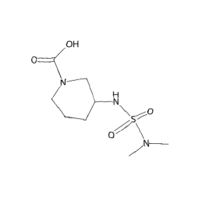 CN(C)S(=O)(=O)NC1CCCN(C(=O)O)C1